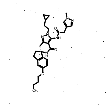 Cn1cc(CC(=O)Nc2c3c(nn2CCC2CC2)C[C@]2(CCc4cc(OCCCC(F)(F)F)ccc42)NC3=O)cn1